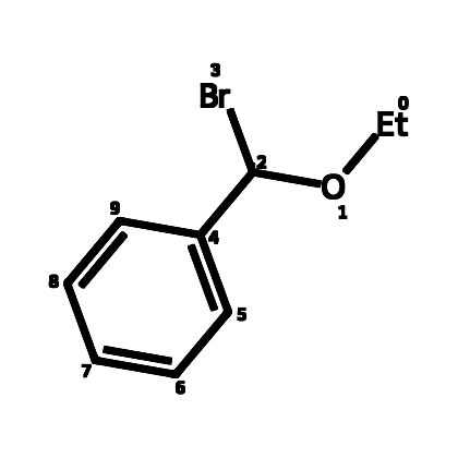 CCO[C](Br)c1ccccc1